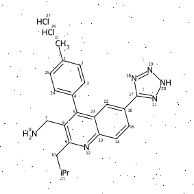 Cc1ccc(-c2c(CN)c(CC(C)C)nc3ccc(-c4nn[nH]n4)cc23)cc1.Cl.Cl